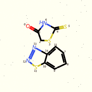 O=C1CSC(=S)N1.c1ccc2snnc2c1